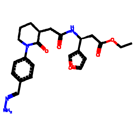 CCOC(=O)C[C@H](NC(=O)CC1CCCN(c2ccc(C=NN)cc2)C1=O)c1ccoc1